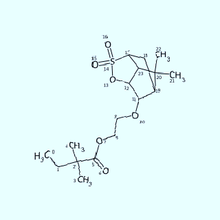 CCC(C)(C)C(=O)OCCOC1C2OS(=O)(=O)C3CC1C(C)(C)C23